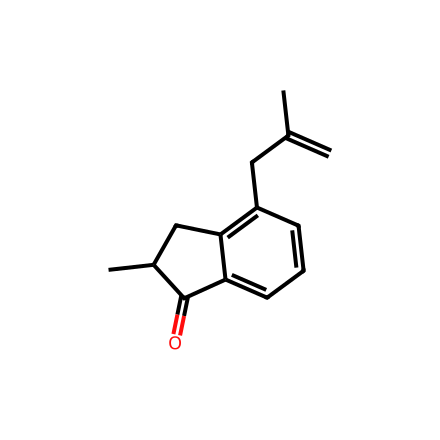 C=C(C)Cc1cccc2c1CC(C)C2=O